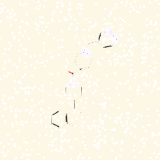 O=C(N1CCC(C(F)c2ccc(F)cc2F)CC1)C1(F)CCN(Cc2ccnnc2)CC1